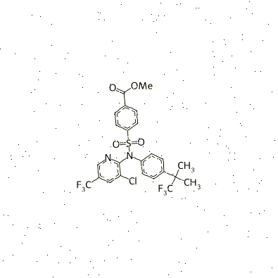 COC(=O)c1ccc(S(=O)(=O)N(c2ccc(C(C)(C)C(F)(F)F)cc2)c2ncc(C(F)(F)F)cc2Cl)cc1